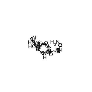 CC[C@H]1OC(=O)[C@H](C)C(=O)[C@H](C)[C@@H](O[C@@H]2OC(C)CC(Nc3cnccn3)C2O)[C@](C)(OC)C[C@@H](C)CN[C@H](C)[C@@H](N(C=O)CCCCn2cc(-c3cccc(N)c3)nn2)[C@]1(C)OC